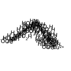 CC(C)[C@H](N)C(=O)O.CC(C)[C@H](N)C(=O)O.CC(C)[C@H](N)C(=O)O.CC(C)[C@H](N)C(=O)O.C[C@H](N)C(=O)O.C[C@H](N)C(=O)O.NC(=O)CC[C@H](N)C(=O)O.NC(=O)CC[C@H](N)C(=O)O.NCC(=O)O.NCC(=O)O.N[C@@H](CS)C(=O)O.N[C@@H](CS)C(=O)O.N[C@@H](CS)C(=O)[O-].N[C@@H](CS)C(=O)[O-].O=C(O)[C@@H]1CCCN1.O=C(O)[C@@H]1CCCN1.[Cu+2]